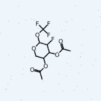 CC(=O)OC1COC(OC(F)(F)F)C(F)C1OC(C)=O